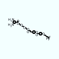 Nc1cc(N)cc(C(=O)OCCOCCOCCOC(=O)C=Cc2ccc(OC(=O)c3ccc(OCCCCC(F)(F)F)cc3)cc2)c1